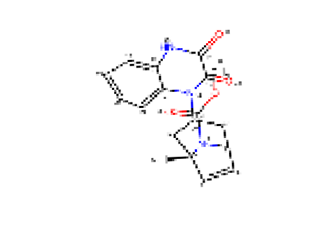 COC(=O)N1C2C=C[C@@H]1CC(n1c(=O)c(=O)[nH]c3ccccc31)C2